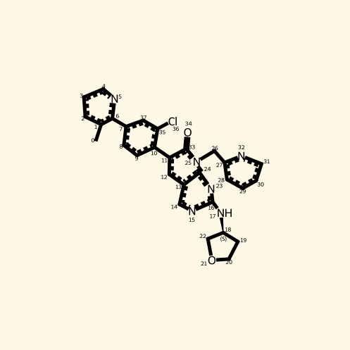 Cc1cccnc1-c1ccc(-c2cc3cnc(N[C@H]4CCOC4)nc3n(Cc3ccccn3)c2=O)c(Cl)c1